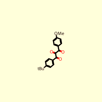 COc1ccc(C(=O)C(=O)C(=O)c2ccc(C(C)(C)C)cc2)cc1